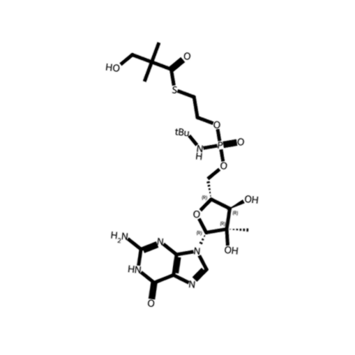 CC(C)(C)NP(=O)(OCCSC(=O)C(C)(C)CO)OC[C@H]1O[C@@H](n2cnc3c(=O)[nH]c(N)nc32)[C@](C)(O)[C@@H]1O